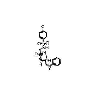 CN(C[C@H]1C[N@]2CC[C@H]1C[C@@H]2CNS(=O)(=O)c1ccc(Cl)cc1)c1ccccc1